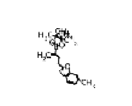 C=C(CCc1nc2ccc(C)cc2o1)B1OC(C)(C)C(C)(C)O1